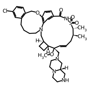 CO[C@@]1(CN2CCN3CCNC[C@H]3C2)/C=C/C[C@H](C)[C@@H](C)S(=O)(=O)NC(=O)c2ccc3c(c2)N(CCCCc2cc(Cl)ccc2CO3)C[C@@H]2CC[C@H]21